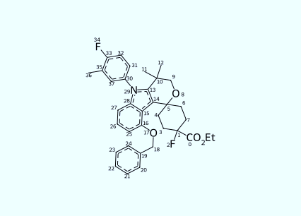 CCOC(=O)C1(F)CCC2(CC1)OCC(C)(C)c1c2c2c(OCc3ccccc3)cccc2n1-c1ccc(F)c(C)c1